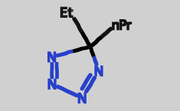 [CH2]CC1(CCC)N=NN=N1